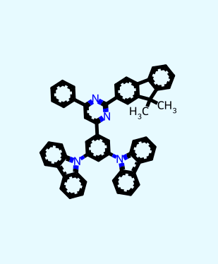 CC1(C)c2ccccc2-c2ccc(-c3nc(-c4ccccc4)cc(-c4cc(-n5c6ccccc6c6ccccc65)cc(-n5c6ccccc6c6ccccc65)c4)n3)cc21